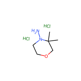 CC1(C)COCCN1N.Cl.Cl